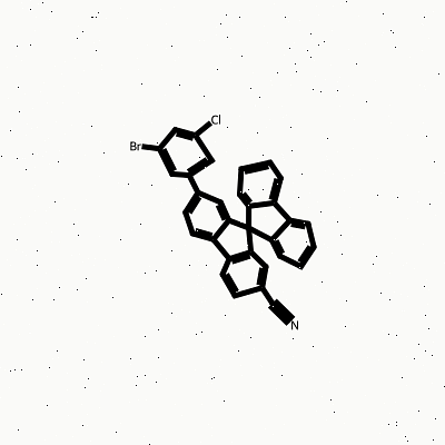 N#Cc1ccc2c(c1)C1(c3ccccc3-c3ccccc31)c1cc(-c3cc(Cl)cc(Br)c3)ccc1-2